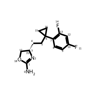 NC1=N[C@@H](CCC2(c3ccc(F)cc3F)CC2)CO1